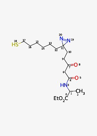 CCOC(=O)C(C)NC(=O)CC(=O)CCC1(CCCCCCS)N=N1